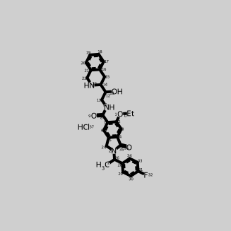 CCOc1cc2c(cc1C(=O)NCC(O)C1Cc3ccccc3CN1)CN(C(C)c1ccc(F)cc1)C2=O.Cl